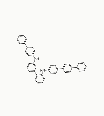 c1ccc(-c2ccc(Nc3cccc(-c4ccccc4Nc4ccc(-c5ccc(-c6ccccc6)cc5)cc4)c3)cc2)cc1